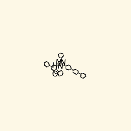 c1ccc(C2=NC(c3cc(-c4ccccc4)cc4oc5ccccc5c34)NC(c3ccc(-c4ccc(-c5ccccc5)cc4)cc3)=N2)cc1